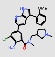 COc1ccccc1-c1c[nH]c2ncc(-c3cc(Cl)c(N)c(C(=O)N(C)CC4CCN(C)C4)c3)cc12